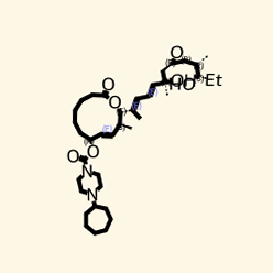 CC[C@H](O)[C@@H](C)[C@H]1O[C@@H]1C[C@@](C)(O)/C=C/C=C(\C)[C@H]1OC(=O)CCCCC[C@@H](OC(=O)N2CCN(C3CCCCCC3)CC2)/C=C/[C@@H]1C